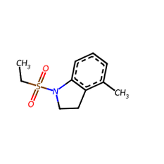 CCS(=O)(=O)N1CCc2c(C)cccc21